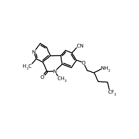 Cc1nccc2c1c(=O)n(C)c1cc(OCC(N)CCC(F)(F)F)c(C#N)cc21